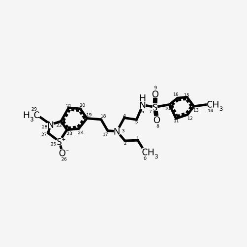 CCCN(CCNS(=O)(=O)c1ccc(C)cc1)CCc1ccc2c(c1)[S+]([O-])CN2C